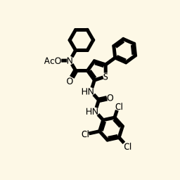 CC(=O)ON(C(=O)c1cc(-c2ccccc2)sc1NC(=O)Nc1c(Cl)cc(Cl)cc1Cl)C1CCCCC1